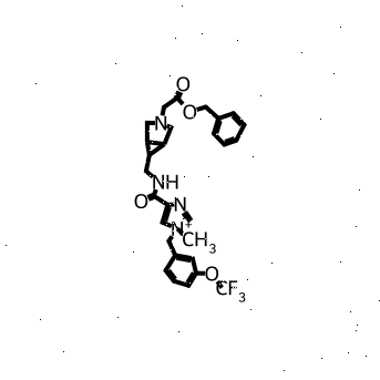 C[N+]1(Cc2cccc(OC(F)(F)F)c2)C=NC(C(=O)NCC2C3CN(CC(=O)OCc4ccccc4)CC23)=C1